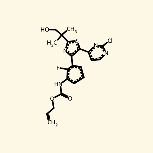 C=CCOC(=O)Nc1cccc(-c2nc(C(C)(C)CO)sc2-c2ccnc(Cl)n2)c1F